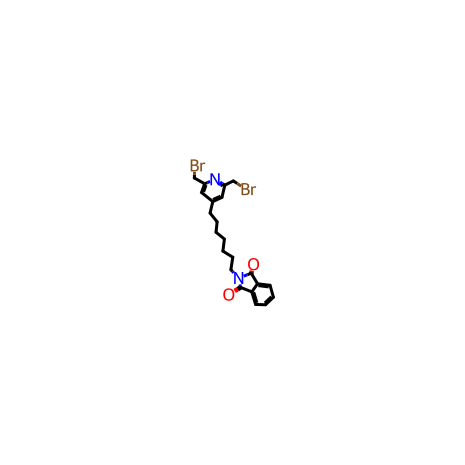 O=C1c2ccccc2C(=O)N1CCCCCCCc1cc(CBr)nc(CBr)c1